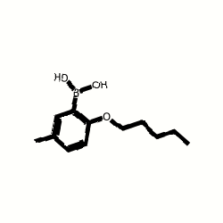 CCCCCOc1ccc(C)cc1B(O)O